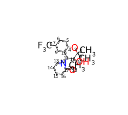 CC1(C)Oc2ccc(C(F)(F)F)cc2C(n2ccccc2=O)C1(C)O